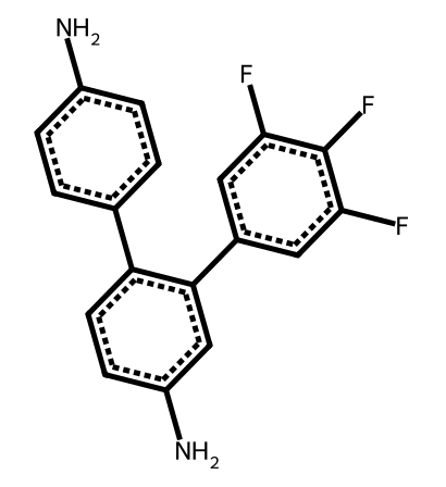 Nc1ccc(-c2ccc(N)cc2-c2cc(F)c(F)c(F)c2)cc1